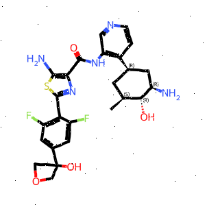 C[C@H]1C[C@@H](c2ccncc2NC(=O)c2nc(-c3c(F)cc(C4(O)COC4)cc3F)sc2N)C[C@@H](N)[C@@H]1O